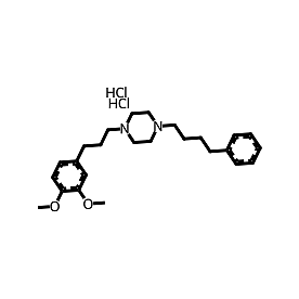 COc1ccc(CCCN2CCN(CCCCc3ccccc3)CC2)cc1OC.Cl.Cl